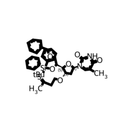 CC(=S)CCO[C@H]1C[C@H](n2cc(C)c(=O)[nH]c2=O)O[C@@H]1C(COCc1ccccc1)O[Si](c1ccccc1)(c1ccccc1)C(C)(C)C